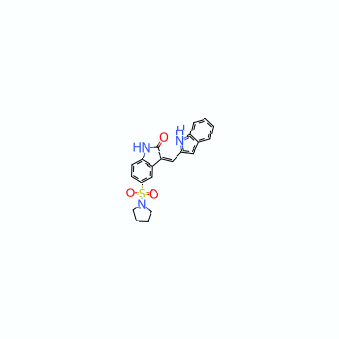 O=C1Nc2ccc(S(=O)(=O)N3CCCC3)cc2C1=Cc1cc2ccccc2[nH]1